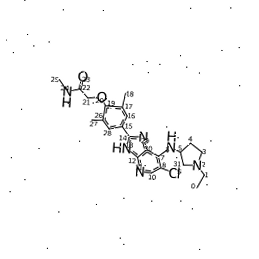 CCN1CCC(Nc2c(Cl)cnc3[nH]c(-c4cc(C)c(OCC(=O)NC)c(C)c4)nc23)C1